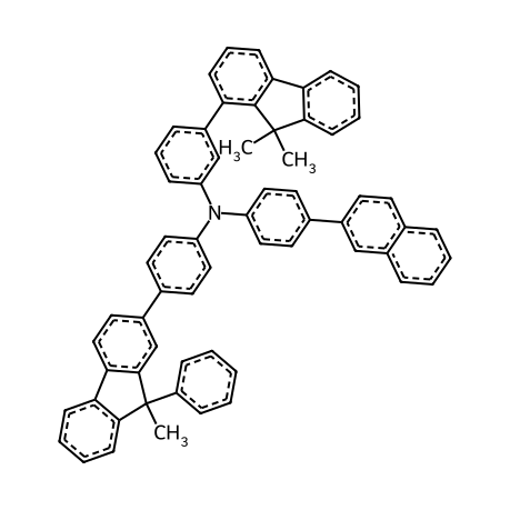 CC1(C)c2ccccc2-c2cccc(-c3cccc(N(c4ccc(-c5ccc6c(c5)C(C)(c5ccccc5)c5ccccc5-6)cc4)c4ccc(-c5ccc6ccccc6c5)cc4)c3)c21